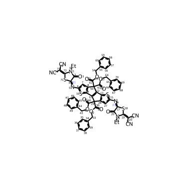 CCN1C(=O)/C(=N\c2cc3c(s2)C2=C(c4sc(/N=C5/SC(=C(C#N)C#N)N(CC)C5=O)cc4C2(C(=O)OCc2ccccc2)C(=O)OCc2ccccc2)C3(C(=O)OCc2ccccc2)C(=O)OCc2ccccc2)SC1=C(C#N)C#N